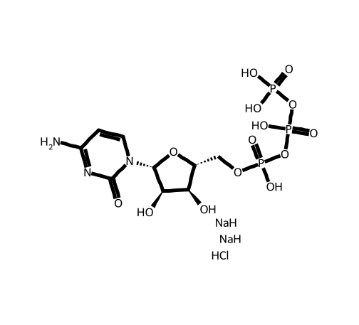 Cl.Nc1ccn([C@@H]2O[C@H](COP(=O)(O)OP(=O)(O)OP(=O)(O)O)[C@@H](O)[C@H]2O)c(=O)n1.[NaH].[NaH]